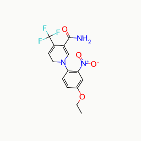 CCOc1ccc(N2C=C(C(N)=O)C(C(F)(F)F)=CC2)c([N+](=O)[O-])c1